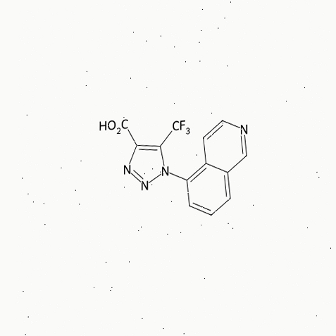 O=C(O)c1nnn(-c2cccc3cnccc23)c1C(F)(F)F